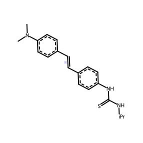 CC(C)NC(=S)Nc1ccc(/C=C/c2ccc(N(C)C)cc2)cc1